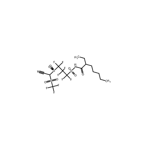 CCCCCC(CC)C(=O)NS(=O)(=O)C(F)(F)C(F)(F)C(F)(F)S(=O)(=O)C(C#N)S(=O)(=O)C(F)(F)F